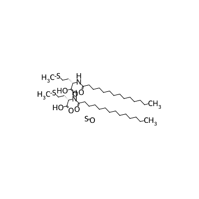 CCCCCCCCCCCCCC(=O)N[C@@H](CCSC)C(=O)O.CCCCCCCCCCCCCC(=O)N[C@@H](CCSC)C(=O)O.O=S